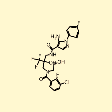 Nc1c(C(=O)NCC(O)(CN(CCO)C(=O)c2cccc(Cl)c2F)C(F)(F)F)cnn1-c1ccc(F)cc1